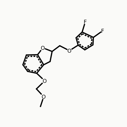 COCOc1cccc2c1CC(COc1ccc(F)c(F)c1)O2